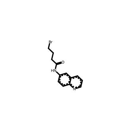 O=C(CCCBr)Nc1ccc2ncccc2c1